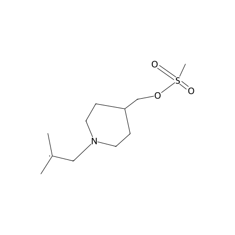 C[C](C)CN1CCC(COS(C)(=O)=O)CC1